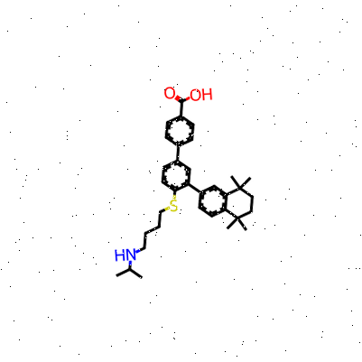 CC(C)NCCCCSc1ccc(-c2ccc(C(=O)O)cc2)cc1-c1ccc2c(c1)C(C)(C)CCC2(C)C